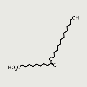 O=C(O)CCCCCCCCC(=O)OCCCCCCCCCCCCO